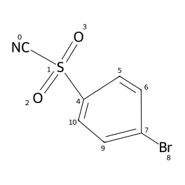 N#CS(=O)(=O)c1ccc(Br)cc1